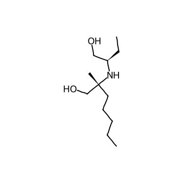 CCCCC[C@](C)(CO)N[C@H](CC)CO